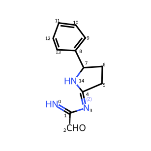 N=C(C=O)/N=C1/CCC(c2ccccc2)N1